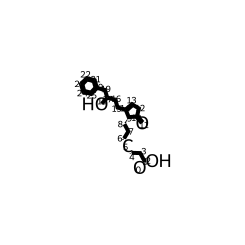 O=C(O)CC=C=CCC[C@H]1C(=O)CC=C1CCC(O)Cc1ccccc1